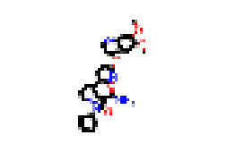 COc1cc2nccc(Oc3ccc(C4CCCn5c4c(C(N)=O)c(=O)n5-c4ccccc4)cn3)c2cc1OC